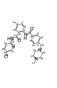 Cc1ccc(NC(=O)c2ccc(CN3CCN(C)CC3)cc2)c(C(=O)Nc2ccc(Cl)cn2)c1